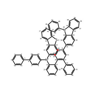 c1ccc(-c2ccc(N(c3ccc4sc5ccccc5c4c3)c3ccccc3-c3ccc(-c4ccc5c6ccccc6n(-c6ccccc6)c5c4)cc3-c3ccccc3)cc2)cc1